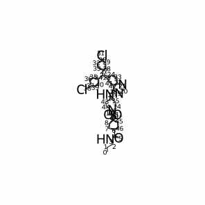 CCCNC(=O)c1ccc(S(=O)(=O)N2CCC(Nc3ncnc4ccc(C(c5ccc(Cl)cc5)c5ccc(Cl)cc5)cc34)CC2)cc1